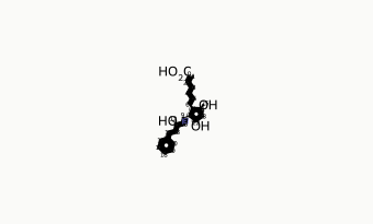 O=C(O)C=CCCCC[C@@H]1[C@@H](/C=C/[C@@H](O)CCc2ccccc2)[C@H](O)C[C@@H]1O